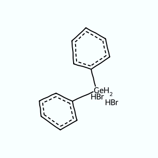 Br.Br.c1cc[c]([GeH2][c]2ccccc2)cc1